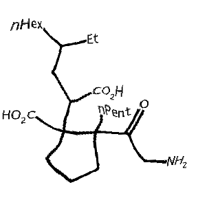 CCCCCCC(CC)CC(C(=O)O)C1(C(=O)O)CCCC1(CCCCC)C(=O)CN